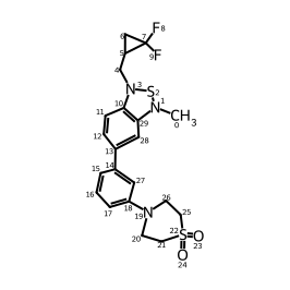 CN1SN(CC2CC2(F)F)c2ccc(-c3cccc(N4CCS(=O)(=O)CC4)c3)cc21